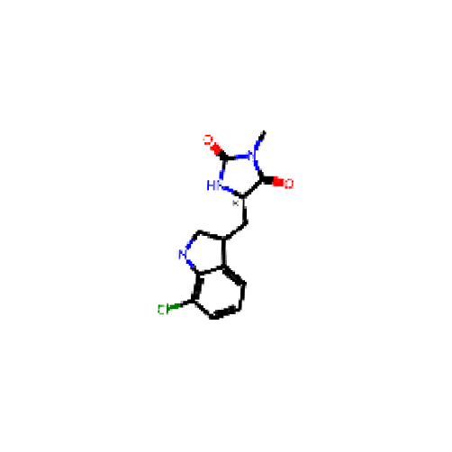 CN1C(=O)N[C@H](CC2CNc3c(Cl)cccc32)C1=O